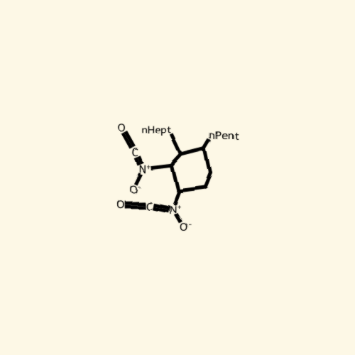 CCCCCCCC1C(CCCCC)CCC([N+]([O-])=C=O)C1[N+]([O-])=C=O